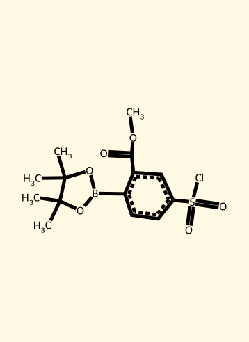 COC(=O)c1cc(S(=O)(=O)Cl)ccc1B1OC(C)(C)C(C)(C)O1